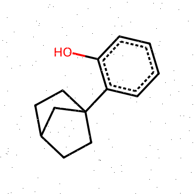 Oc1ccccc1C12CCC(CC1)C2